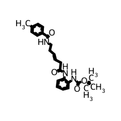 Cc1ccc(C(=O)NCCC=CCC(=O)Nc2ccccc2NC(=O)OC(C)(C)C)cc1